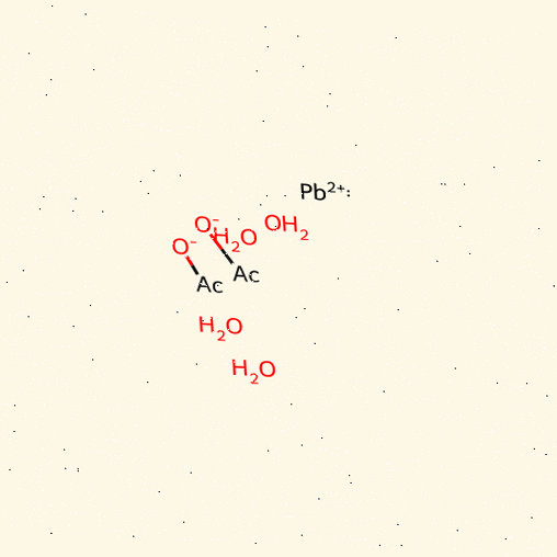 CC(=O)[O-].CC(=O)[O-].O.O.O.O.[Pb+2]